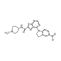 CN1CCC(NC(=O)c2nc3c(N4CCc5cc([N+](=O)[O-])ccc54)ncnc3s2)CC1